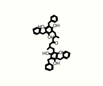 CC(CC(=O)CC(C)Cc1c(O)c(Cc2ccccc2)c(O)c(Cc2ccccc2)c1O)Cc1c(O)c(Cc2ccccc2)c(O)c(Cc2ccccc2)c1O